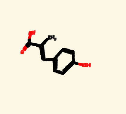 C/C(=C\c1ccc(O)cc1)C(=O)O